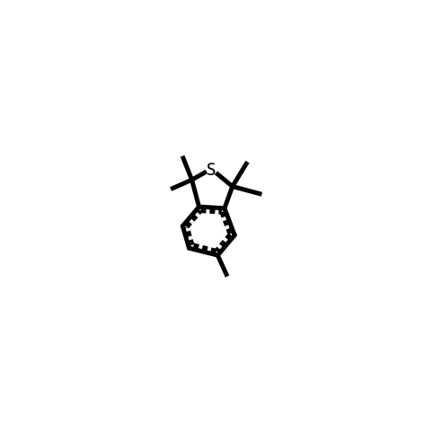 Cc1ccc2c(c1)C(C)(C)SC2(C)C